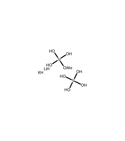 CO[Si](O)(O)O.O[Si](O)(O)O.[KH].[LiH]